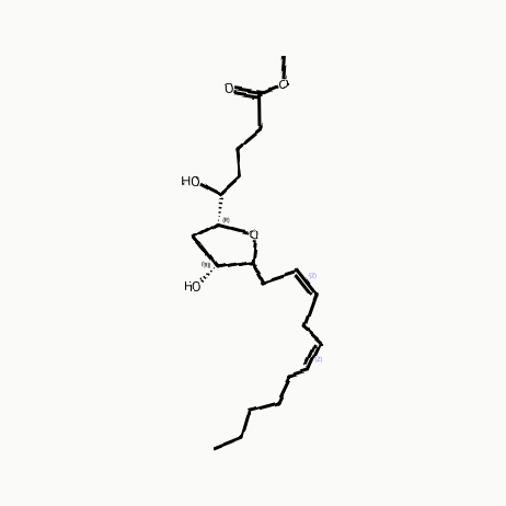 CCCCC/C=C\C/C=C\CC1O[C@@H](C(O)CCCC(=O)OC)C[C@H]1O